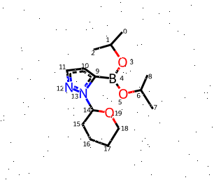 CC(C)OB(OC(C)C)c1ccnn1C1CCCCO1